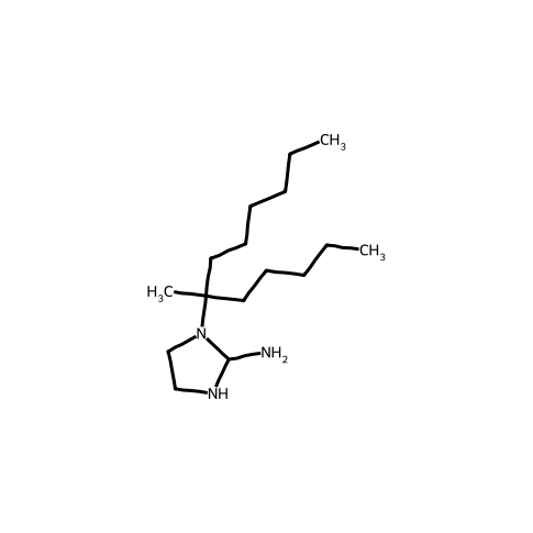 CCCCCCC(C)(CCCCC)N1CCNC1N